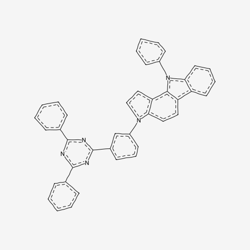 c1ccc(-c2nc(-c3ccccc3)nc(-c3cccc(-n4ccc5c4ccc4c6ccccc6n(-c6ccccc6)c45)c3)n2)cc1